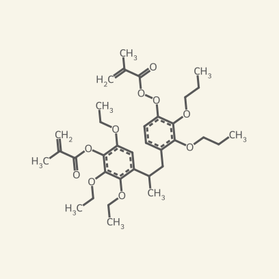 C=C(C)C(=O)OOc1ccc(CC(C)c2cc(OCC)c(OC(=O)C(=C)C)c(OCC)c2OCC)c(OCCC)c1OCCC